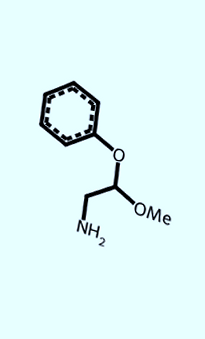 COC(CN)Oc1ccccc1